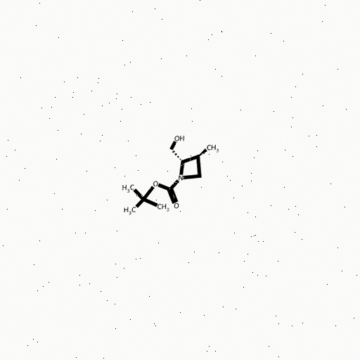 C[C@H]1CN(C(=O)OC(C)(C)C)[C@@H]1CO